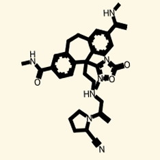 C=C(NC)c1ccc2c(c1)CCc1cc(C(=O)NC)ccc1C2(C[C@H](C)NCC(=C)N1CCCC1C#N)c1nc(=O)on1C